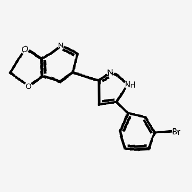 Brc1cccc(-c2cc(C3C=NC4=C(C3)OCO4)n[nH]2)c1